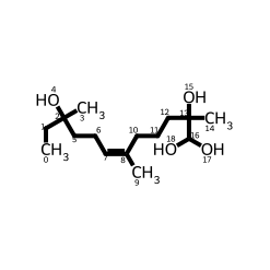 CCC(C)(O)CCC=C(C)CCCC(C)(O)C(O)O